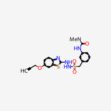 C#CCOc1ccc2nc(NNS(=O)(=O)Cc3cccc(NC(=O)NC)c3)sc2c1